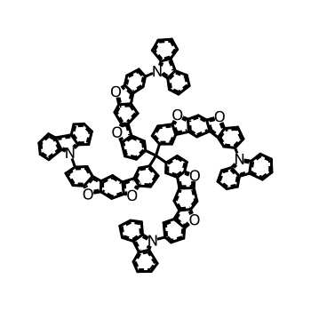 c1ccc2c(c1)c1ccccc1n2-c1ccc2oc3cc4oc5ccc(C(c6ccc7oc8cc9oc%10ccc(-n%11c%12ccccc%12c%12ccccc%12%11)cc%10c9cc8c7c6)(c6ccc7oc8cc9oc%10ccc(-n%11c%12ccccc%12c%12ccccc%12%11)cc%10c9cc8c7c6)c6ccc7oc8cc9oc%10ccc(-n%11c%12ccccc%12c%12ccccc%12%11)cc%10c9cc8c7c6)cc5c4cc3c2c1